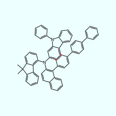 CC1(C)c2ccccc2-c2c(N(c3ccc4c5ccccc5n(-c5ccccc5)c4c3)c3ccc4ccccc4c3-c3ccc(-c4ccc(-c5ccccc5)cc4)cc3)cccc21